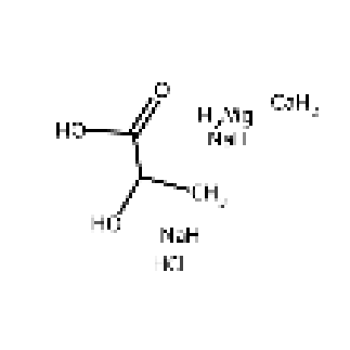 CC(O)C(=O)O.Cl.[CaH2].[MgH2].[NaH].[NaH]